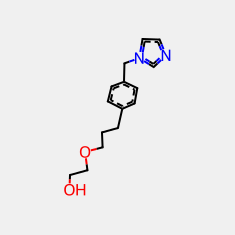 OCCOCCCc1ccc(Cn2ccnc2)cc1